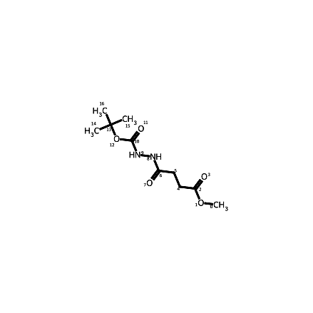 COC(=O)CCC(=O)NNC(=O)OC(C)(C)C